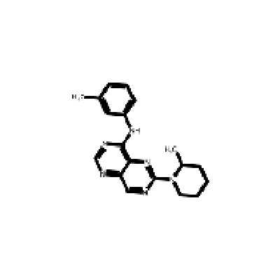 Cc1cccc(Nc2ncnc3cnc(N4CCCCC4C)nc23)c1